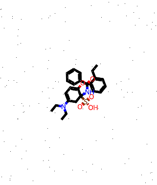 CCc1ccccc1OC1=CC=C(N(CC)CC)CC1(NC(=O)c1ccccc1)S(=O)(=O)O